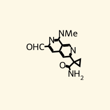 CNc1nc(C=O)cc2cc(C3(C(N)=O)CC3)ncc12